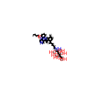 CCCCOc1ccccc1-c1ccncc1C1(NCc2cc(C(C)CCCCNC(O)[C@@H](O)[C@@H](O)[C@H](O)[C@@H](O)CO)ccc2C)CC1